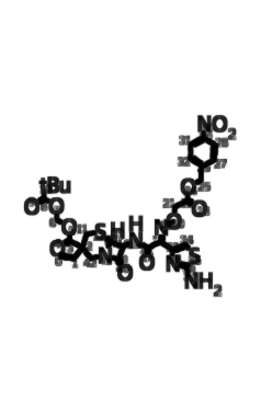 C=CC1(C(=O)OCOC(=O)C(C)(C)C)CS[C@@H]2C(NC(=O)C(=NOCC(=O)OCc3ccc([N+](=O)[O-])cc3)c3csc(N)n3)C(=O)N2C1